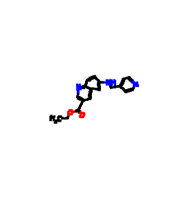 CCOC(=O)c1cnc2ccc(NCc3ccncc3)cc2c1